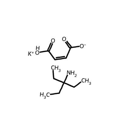 CCC(N)(CC)CC.O=C([O-])/C=C\C(=O)O.[K+]